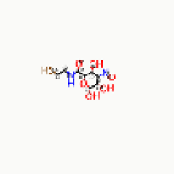 O=N[C@H]1[C@H](O)C(O)OC(C(=O)NCCS)[C@H]1O